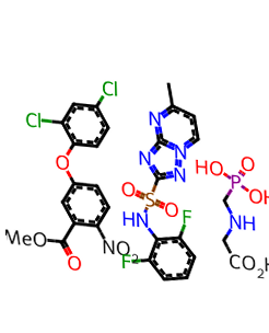 COC(=O)c1cc(Oc2ccc(Cl)cc2Cl)ccc1[N+](=O)[O-].Cc1ccn2nc(S(=O)(=O)Nc3c(F)cccc3F)nc2n1.O=C(O)CNCP(=O)(O)O